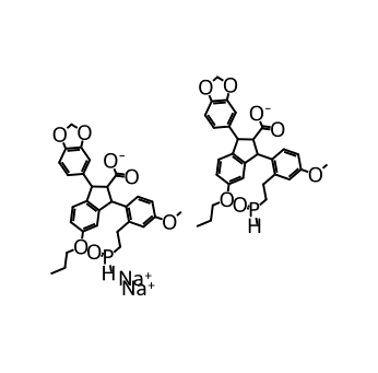 CCCOc1ccc2c(c1)C(c1ccc(OC)cc1CC[PH](C)=O)C(C(=O)[O-])C2c1ccc2c(c1)OCO2.CCCOc1ccc2c(c1)C(c1ccc(OC)cc1CC[PH](C)=O)C(C(=O)[O-])C2c1ccc2c(c1)OCO2.[Na+].[Na+]